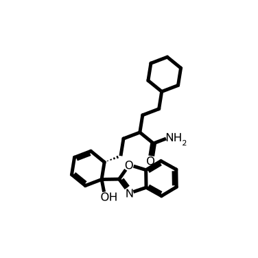 NC(=O)C(CCC1CCCCC1)CC[C@H]1C=CC=CC1(O)c1nc2ccccc2o1